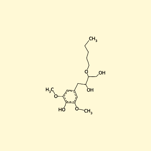 CCCCCOC(CO)C(O)Cc1cc(OC)c(O)c(OC)c1